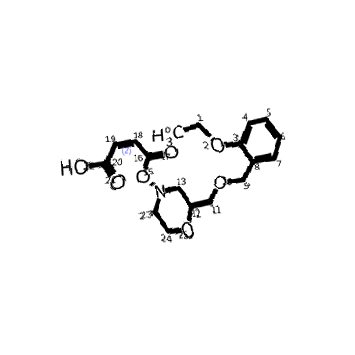 CCOc1ccccc1COCC1CN(OC(=O)/C=C\C(=O)O)CCO1